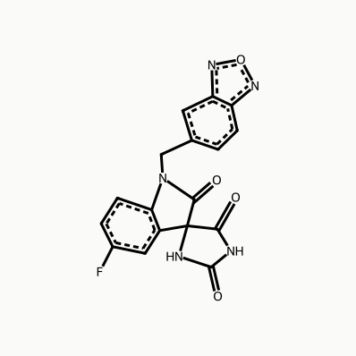 O=C1NC(=O)C2(N1)C(=O)N(Cc1ccc3nonc3c1)c1ccc(F)cc12